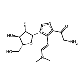 CN(C)/C=N/c1c(C(=O)CN)ncn1[C@@H]1O[C@H](CO)[C@@H](O)[C@@H]1F